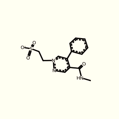 CNC(=O)c1cn[n+](CCS(=O)(=O)[O-])cc1-c1ccccc1